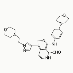 O=CC1NC=Cc2c(-c3cnn(CCN4CCOCC4)c3)cnc(Nc3ccc(N4CCOCC4)cc3)c21